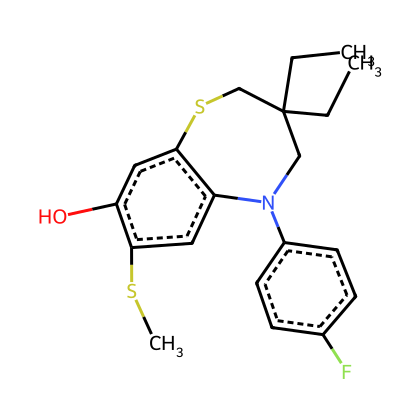 CCC1(CC)CSc2cc(O)c(SC)cc2N(c2ccc(F)cc2)C1